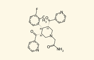 Cc1c(F)cccc1[C@H]1[C@@H](C(=O)c2cccnc2)CN(CC(N)=O)C[C@H]1C(=O)c1cccnc1